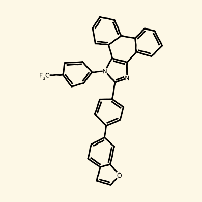 FC(F)(F)c1ccc(-n2c(-c3ccc(-c4ccc5ccoc5c4)cc3)nc3c4ccccc4c4ccccc4c32)cc1